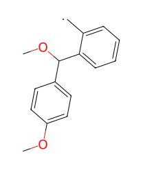 [CH2]c1ccccc1C(OC)c1ccc(OC)cc1